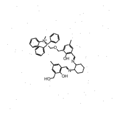 Cc1cc(/C=N/C2CCCCC2/N=C/c2cc(C)cc(COCP(c3ccccc3)(c3ccccc3)=[N+](C)c3ccccc3)c2O)c(O)c(CO)c1